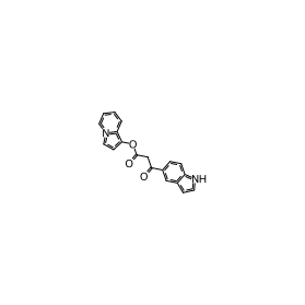 O=C(CC(=O)c1ccc2[nH]ccc2c1)Oc1ccn2ccccc12